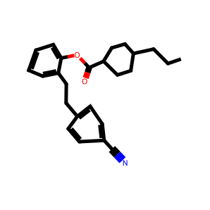 CCCC1CCC(C(=O)Oc2ccccc2CCc2ccc(C#N)cc2)CC1